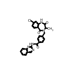 CC1C(=O)Nc2cc(Cl)ccc2C(=O)N1Cc1ccc(C(=O)Nc2ncc3ccccc3n2)cc1